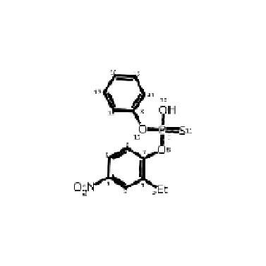 CCc1cc([N+](=O)[O-])ccc1OP(O)(=S)Oc1ccccc1